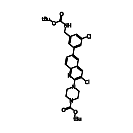 CC(C)(C)OC(=O)NCc1cc(Cl)cc(-c2ccc3nc(N4CCN(C(=O)OC(C)(C)C)CC4)c(Cl)cc3c2)c1